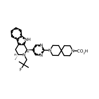 C[C@@H]1Cc2c([nH]c3ccccc23)[C@@H](c2cnc(N3CCC4(CCN(C(=O)O)CC4)CC3)nc2)N1CC(C)(C)F